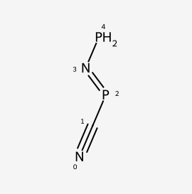 N#CP=NP